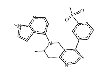 CC1Cc2ncnc(-c3cccc(S(C)(=O)=O)c3)c2CN1c1ccnc2[nH]ccc12